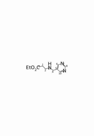 CCOC(=O)CCNCc1cncnc1